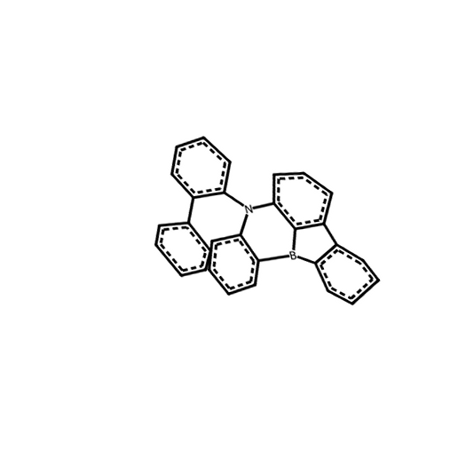 c1ccc(-c2ccccc2N2c3ccccc3B3c4ccccc4-c4cccc2c43)cc1